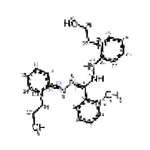 C[n+]1ccccc1/C(=N\N=c1/ccccn1CCO)NNc1cccc[n+]1CCO